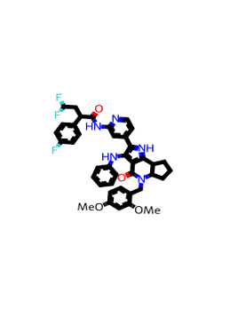 COc1ccc(CN2C(=O)c3c([nH]c(-c4ccnc(NC(=O)C(CC(F)F)c5ccc(F)cc5)c4)c3Nc3ccccc3)C3CCCC32)c(OC)c1